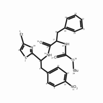 CCc1csc(C(Cc2ccc([N+](=O)[O-])cc2)NC(=O)C(Cc2ccccc2)NC(=O)OC(C)(C)C)n1